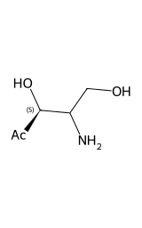 CC(=O)[C@@H](O)C(N)CO